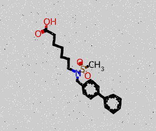 CS(=O)(=O)N(CCCCCCC(=O)O)Cc1ccc(-c2ccccc2)cc1